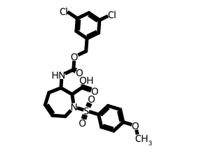 COc1ccc(S(=O)(=O)N2CC=CCC(NC(=O)OCc3cc(Cl)cc(Cl)c3)C2C(=O)O)cc1